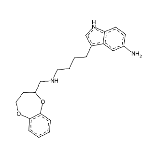 Nc1ccc2[nH]cc(CCCCNCC3CCOc4ccccc4O3)c2c1